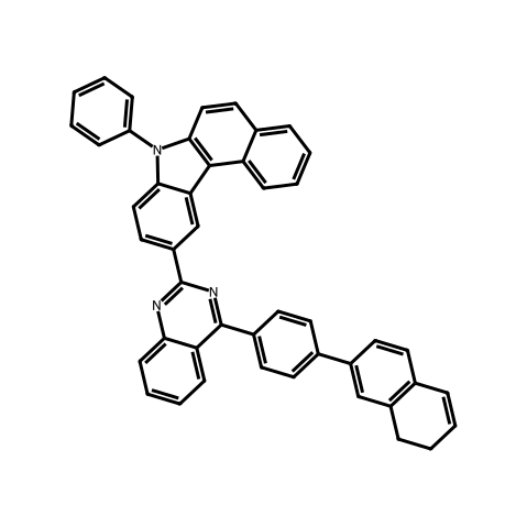 C1=Cc2ccc(-c3ccc(-c4nc(-c5ccc6c(c5)c5c7ccccc7ccc5n6-c5ccccc5)nc5ccccc45)cc3)cc2CC1